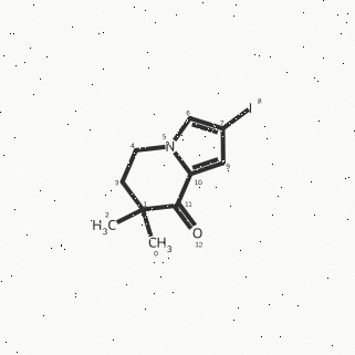 CC1(C)CCn2cc(I)cc2C1=O